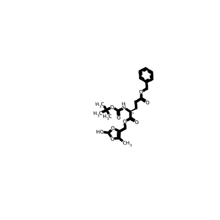 CC1=C(COC(=O)[C@H](CCC(=O)OCc2ccccc2)NC(=O)OC(C)(C)C)OC(O)O1